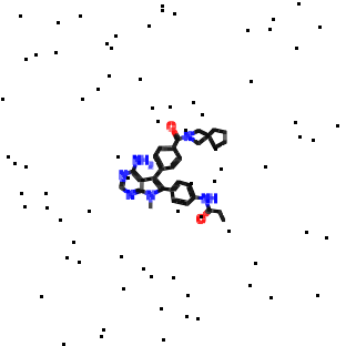 CCC(=O)Nc1ccc(-c2c(-c3ccc(C(=O)N4CC5(CCCC5)C4)cc3)c3c(N)ncnc3n2C)cc1